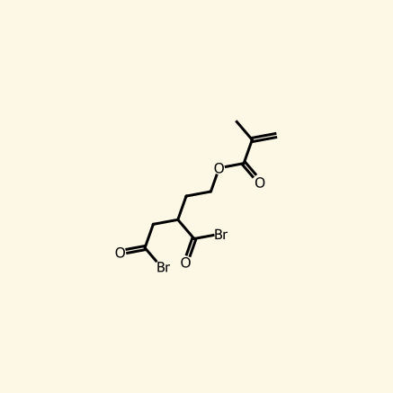 C=C(C)C(=O)OCCC(CC(=O)Br)C(=O)Br